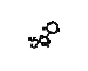 CC(C)(C)OC(=O)C1=CN=CC=CN1